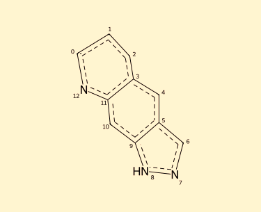 [c]1ccc2cc3cn[nH]c3cc2n1